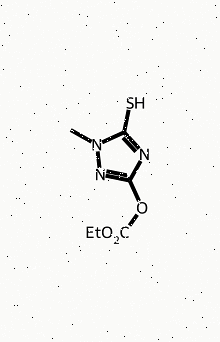 CCOC(=O)Oc1nc(S)n(C)n1